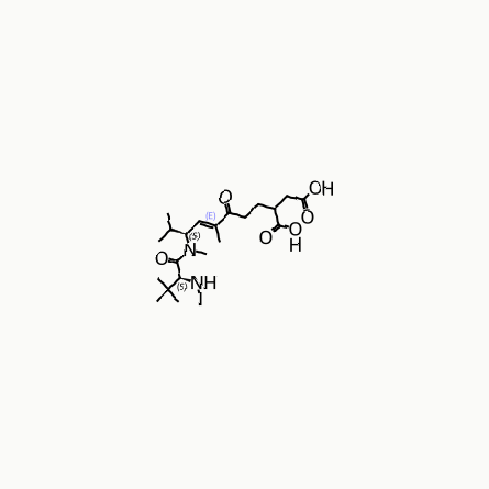 C/C(=C\[C@H](C(C)C)N(C)C(=O)[C@@H](NI)C(C)(C)C)C(=O)CCC(CC(=O)O)C(=O)O